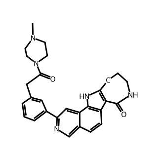 CN1CCN(C(=O)Cc2cccc(-c3cc4c(ccc5c6c([nH]c54)CCCNC6=O)cn3)c2)CC1